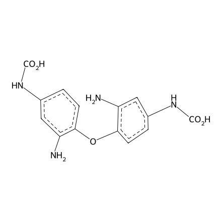 Nc1cc(NC(=O)O)ccc1Oc1ccc(NC(=O)O)cc1N